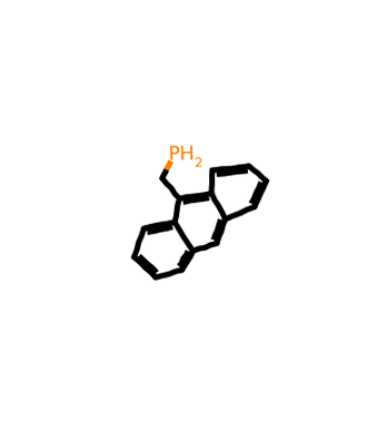 PCc1c2ccccc2cc2ccccc12